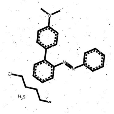 CCCCCCl.CN(C)c1ccc(-c2ccccc2N=Nc2ccccc2)cc1.S